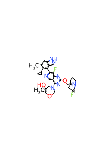 Cc1cc2[nH]ncc2c(-c2ncc3c(N4CCOC[C@@](C)(O)C4)nc(OC[C@@]45CCCN4C[C@H](F)C5)nc3c2F)c1C1CC1